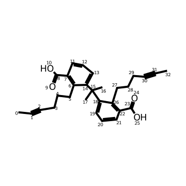 CC#CCCCc1c(C(=O)O)cccc1C(C)(C)c1cccc(C(=O)O)c1CCCC#CC